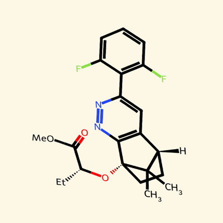 CC[C@@H](O[C@]12CC[C@@H](c3cc(-c4c(F)cccc4F)nnc31)C2(C)C)C(=O)OC